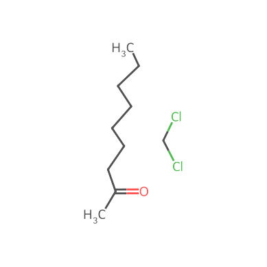 CCCCCCCC(C)=O.ClCCl